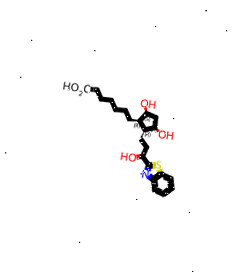 O=C(O)CCCCCC[C@@H]1[C@@H](CCC(O)c2nc3ccccc3s2)[C@H](O)C[C@@H]1O